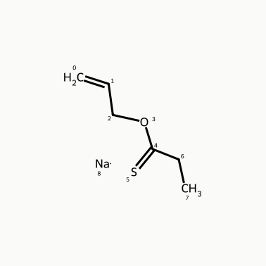 C=CCOC(=S)CC.[Na]